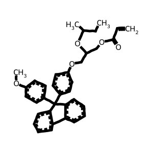 C=CC(=O)OCC(COc1ccc(C2(c3ccc(OC)cc3)c3ccccc3-c3ccccc32)cc1)OC(C)CC